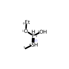 CCO/[PH](O)=[SH]\C